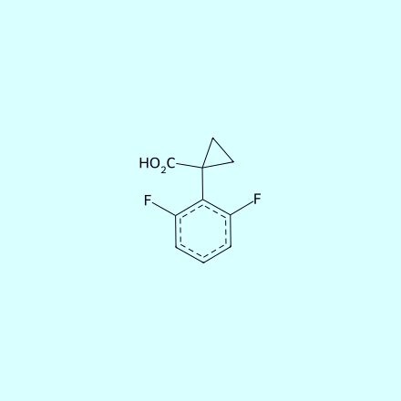 O=C(O)C1(c2c(F)cccc2F)CC1